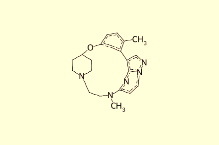 Cc1ccc2cc1-c1cnn3ccc(nc13)N(C)CCN1CCC(CC1)O2